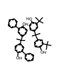 CC(C)(C)c1cc(C(C)(C)c2ccc(O)c(C(C)(C)C)c2)ccc1O.CC(C)(c1ccc(O)c(-c2ccccc2)c1)c1ccc(O)c(-c2ccccc2)c1